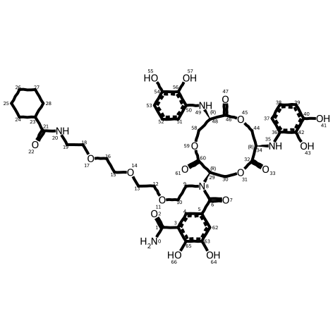 NC(=O)c1cc(C(=O)N(CCOCCOCCOCCNC(=O)C2CCCCC2)[C@@H]2COC(=O)[C@H](Nc3cccc(O)c3O)COC(=O)[C@H](Nc3cccc(O)c3O)COC2=O)cc(O)c1O